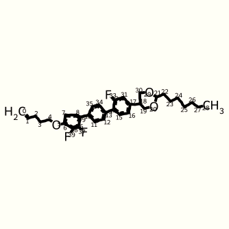 C=CCCCOc1ccc(-c2ccc(-c3ccc(C4COC(CCCCCCC)OC4)cc3F)cc2)c(F)c1F